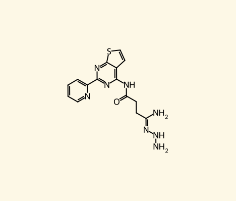 NN/N=C(\N)CCC(=O)Nc1nc(-c2ccccn2)nc2sccc12